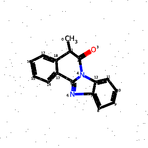 CC1C(=O)n2c(nc3ccccc32)-c2ccccc21